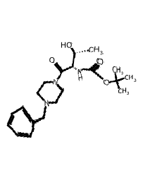 C[C@@H](O)[C@H](NC(=O)OC(C)(C)C)C(=O)N1CCN(Cc2ccccc2)CC1